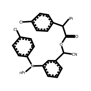 CCCN(c1ccc(Cl)cc1)c1cccc(C(C#N)OC(=O)C(c2ccc(Cl)cc2)C(C)C)c1